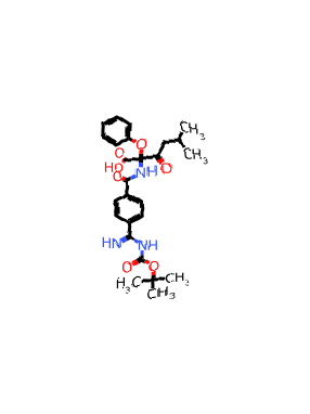 CC(C)CC(=O)C(NC(=O)c1ccc(C(=N)NC(=O)OC(C)(C)C)cc1)(Oc1ccccc1)C(=O)O